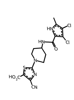 Cc1[nH]c(C(=O)NC2CCN(c3nc(C#N)c(C(=O)O)s3)CC2)c(Cl)c1Cl